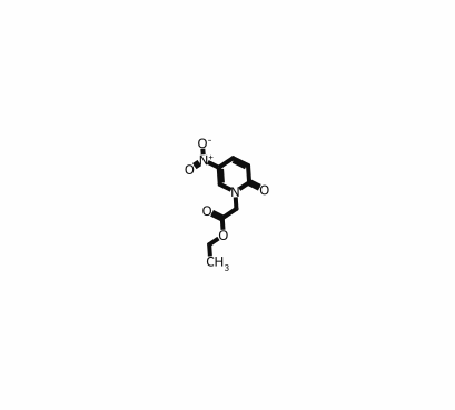 CCOC(=O)Cn1cc([N+](=O)[O-])ccc1=O